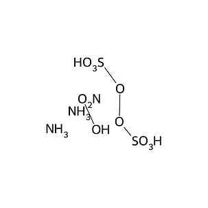 N.N.O=S(=O)(O)OOS(=O)(=O)O.O=[N+]([O-])O